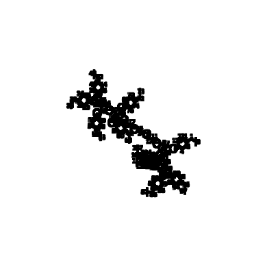 ICc1ccc(OCC(COCCOCCOCCOCC(COCC(COc2ccc(CI)cc2)(COc2ccc(CI)cc2)COc2ccc(CI)cc2)(COc2ccc(CI)cc2)COc2ccc(CI)cc2)(COCC(COc2ccc(CI)cc2)(COc2ccc(CI)cc2)COc2ccc(CI)cc2)COc2ccc(CI)cc2)cc1